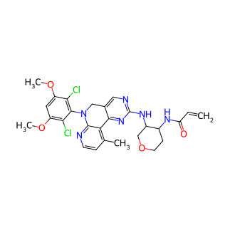 C=CC(=O)NC1CCOCC1Nc1ncc2c(n1)-c1c(C)ccnc1N(c1c(Cl)c(OC)cc(OC)c1Cl)C2